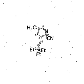 CC[Si](C#Cc1cc(C)cnc1C#N)(CC)CC